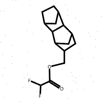 O=C(OCC1CC2CC1C1C3CCC(C3)C21)C(F)F